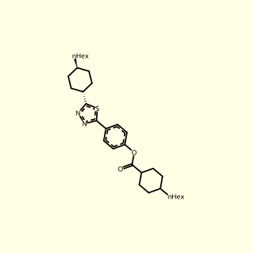 CCCCCCC1CCC(C(=O)Oc2ccc(-c3nnc([C@H]4CC[C@H](CCCCCC)CC4)s3)cc2)CC1